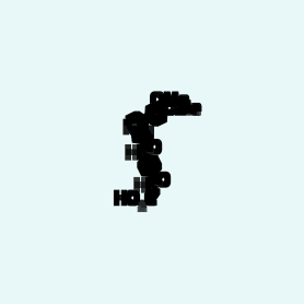 COc1ccc(-c2ccnc3cc(C(=O)Nc4ccc(C(=O)NCC(=O)O)cc4)nn23)cc1OC